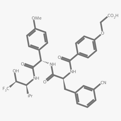 COc1ccc([C@H](NC(=O)[C@H](Cc2cccc(C#N)c2)NC(=O)c2ccc(OCC(=O)O)cc2)C(=O)N[C@@H](C(C)C)[C@H](O)C(F)(F)F)cc1